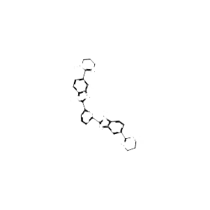 c1cc(-c2nc3cc(C4=NCCCN4)ccc3[nH]2)nc(-c2nc3cc(C4=NCCCN4)ccc3[nH]2)c1